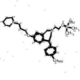 COc1ccc(C2CN(CCO[Si](C)(C)C(C)(C)C)Cc3cc(OCCCN4CCCCC4)ccc32)cc1